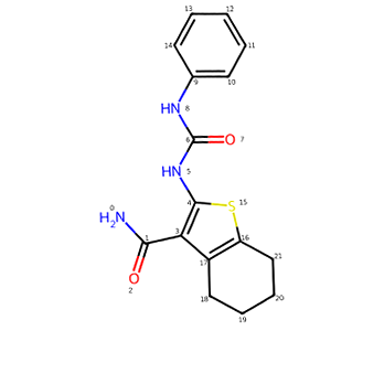 NC(=O)c1c(NC(=O)Nc2ccccc2)sc2c1CCCC2